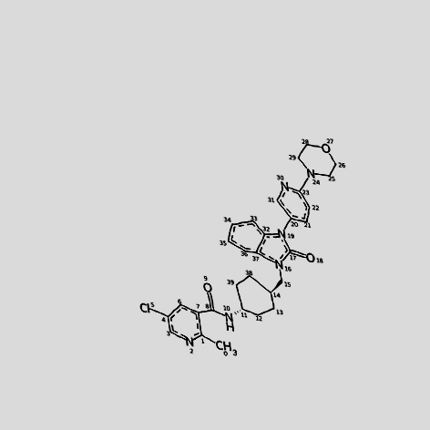 Cc1ncc(Cl)cc1C(=O)N[C@H]1CC[C@H](Cn2c(=O)n(-c3ccc(N4CCOCC4)nc3)c3ccccc32)CC1